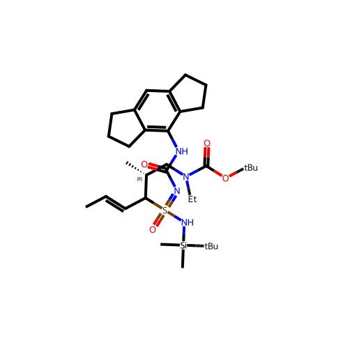 CC=CC([C@H](C)CN(CC)C(=O)OC(C)(C)C)S(=O)(=NC(=O)Nc1c2c(cc3c1CCC3)CCC2)N[Si](C)(C)C(C)(C)C